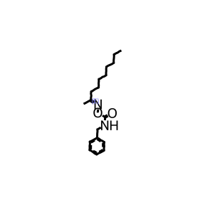 CCCCCCCC/C(C)=N/OC(=O)NCc1ccccc1